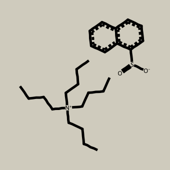 CCCC[N+](CCCC)(CCCC)CCCC.O=S([O-])c1cccc2ccccc12